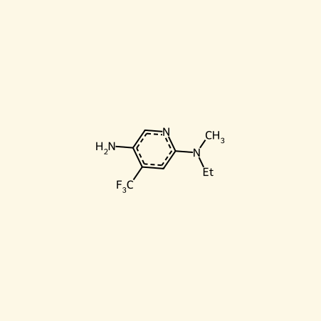 CCN(C)c1cc(C(F)(F)F)c(N)cn1